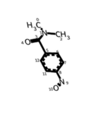 CN(C)C(=O)c1ccc(N=O)cc1